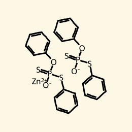 [O-]P(=S)(Oc1ccccc1)Sc1ccccc1.[O-]P(=S)(Oc1ccccc1)Sc1ccccc1.[Zn+2]